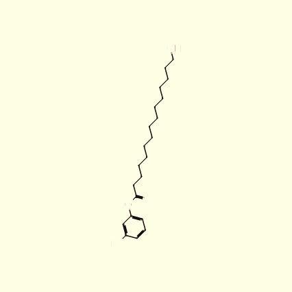 CCCCCCCCCCCCCCCC(=O)Oc1cccc(O)c1